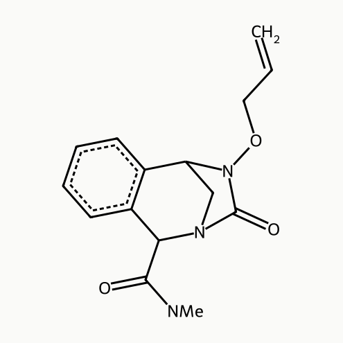 C=CCON1C(=O)N2CC1c1ccccc1C2C(=O)NC